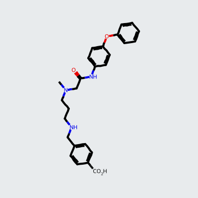 CN(CCCNCc1ccc(C(=O)O)cc1)CC(=O)Nc1ccc(Oc2ccccc2)cc1